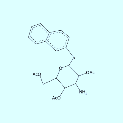 CC(=O)OCC1OC(Sc2ccc3ccccc3c2)C(OC(C)=O)C(N)C1OC(C)=O